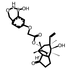 C=C[C@]1(C)C[C@@H](OC(=O)COc2ccc3c(c2)B(O)NOC3)[C@]2(C)[C@H](C)CC[C@]3(CCC(=O)[C@H]32)[C@@H](C)[C@@H]1O